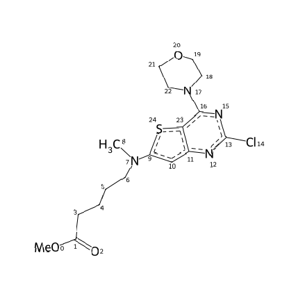 COC(=O)CCCCN(C)c1cc2nc(Cl)nc(N3CCOCC3)c2s1